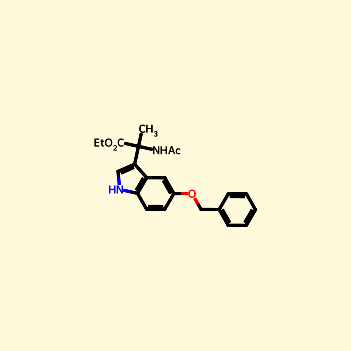 CCOC(=O)C(C)(NC(C)=O)c1c[nH]c2ccc(OCc3ccccc3)cc12